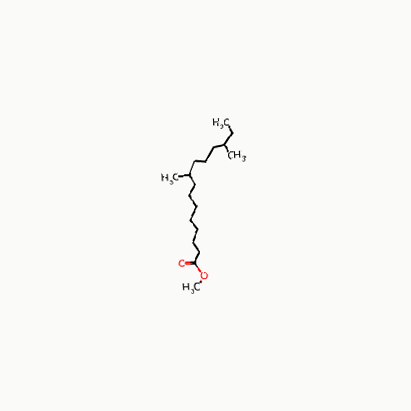 CCC(C)CCCC(C)CCCCCCCC(=O)OC